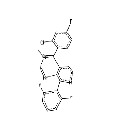 CN(C)/C=N\c1c(C(=O)c2ccc(F)cc2Cl)ccnc1-c1c(F)cccc1F